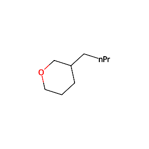 [CH2]CCCC1CCCOC1